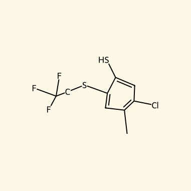 Cc1cc(SCC(F)(F)F)c(S)cc1Cl